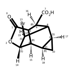 O=C1O[C@H]2[C@H]3C1[C@@H](C(=O)O)C([C@H]1C[C@@H]31)[C@@H]2Br